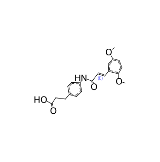 COc1ccc(OC)c(/C=C/C(=O)Nc2ccc(CCC(=O)O)cc2)c1